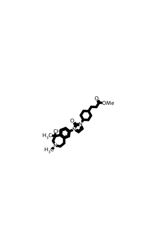 COC(=O)CCC1CCC(n2ccn(-c3ccc4c(c3)CCN(C)CC4(C)C)c2=O)CC1